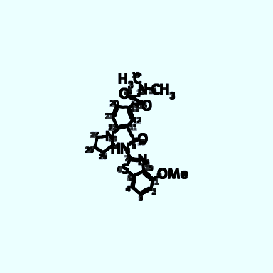 COc1cccc2sc(NC(=O)c3cc(S(=O)(=O)N(C)C)ccc3N3CCCC3)nc12